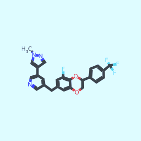 Cn1cc(-c2cncc(Cc3cc(F)c4c(c3)OCC(c3ccc(C(F)(F)F)cc3)O4)c2)cn1